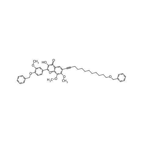 COc1cc(-c2oc3c(OC)c(OC)c(C#CCCCCCCCCCCOCc4ccccc4)cc3c(=O)c2O)ccc1OCc1ccccc1